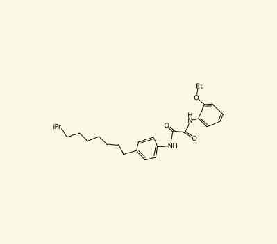 CCOc1ccccc1NC(=O)C(=O)Nc1ccc(CCCCCCCC(C)C)cc1